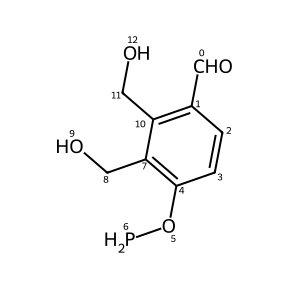 O=Cc1ccc(OP)c(CO)c1CO